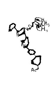 CC(=O)C[C@H]1CC[C@H](c2ccc(-c3ccc(-c4nc(-c5ccccc5)cn4COCC[Si](C)(C)C)cn3)cc2)CC1